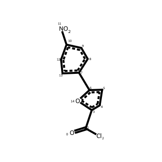 O=C(Cl)c1ccc(-c2ccc([N+](=O)[O-])cc2)o1